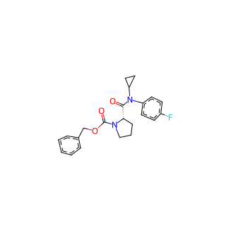 O=C([C@@H]1CCCN1C(=O)OCc1ccccc1)N(c1ccc(F)cc1)C1CC1